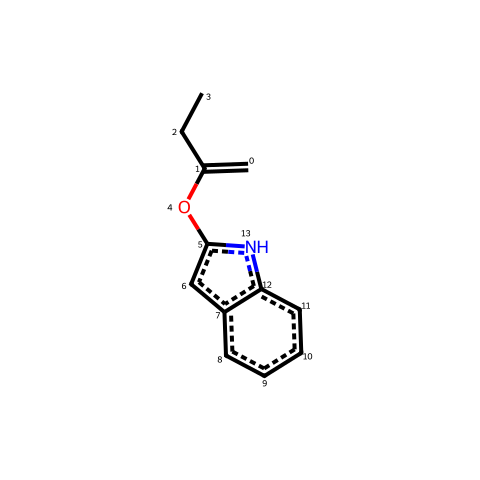 C=C(CC)Oc1cc2ccccc2[nH]1